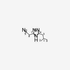 CC(C)Cc1nnc(CC#N)[nH]1